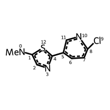 CNc1cnc(-c2ccc(Cl)nc2)s1